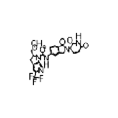 COCC1Cc2cc(C(F)(F)F)ncc2N1C(=O)Nc1ccc2c(c1)CN(C1CCC(=O)NC1=O)C2=O